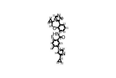 Cc1cc(F)c(C(=O)Nc2cccc3c2OCC2(CC2)n2cnnc2-3)cc1-n1cnc(C2CC2)c1